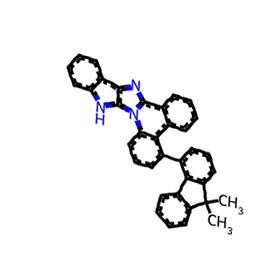 CC1(C)c2ccccc2-c2c(-c3cccc4c3c3ccccc3c3nc5c6ccccc6[nH]c5n43)cccc21